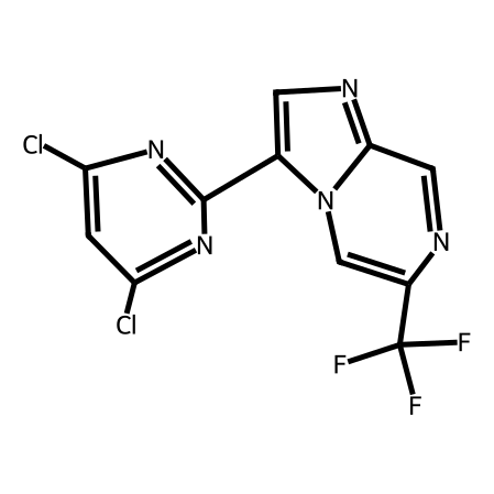 FC(F)(F)c1cn2c(-c3nc(Cl)cc(Cl)n3)cnc2cn1